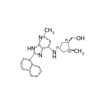 Cc1cc(N[C@@H]2C[C@@H](CO)[C@@H](C)C2)c2nc(-c3cccc4ccccc34)[nH]c2n1